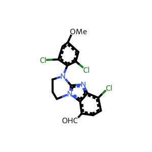 COc1cc(Cl)c(N2CCCn3c2nc2c(Cl)ccc(C=O)c23)c(Cl)c1